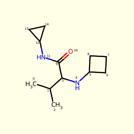 CC(C)C(NC1CCC1)C(=O)NC1CC1